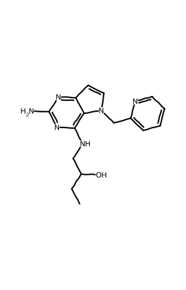 CCC(O)CNc1nc(N)nc2ccn(Cc3ccccn3)c12